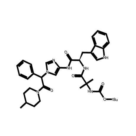 CC1CCN(C(=O)C(c2ccccc2)n2cnc(NC(=O)[C@@H](Cc3c[nH]c4ccccc34)NC(=O)C(C)(C)NC(=O)OC(C)(C)C)c2)CC1